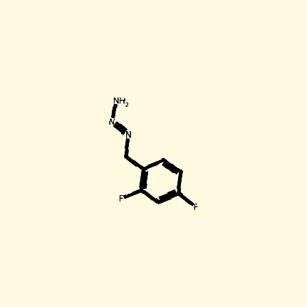 NN=NCc1ccc(F)cc1F